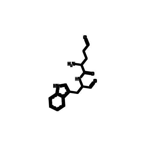 NC(CCC=O)C(=O)NC(C=O)Cc1c[nH]c2ccccc12